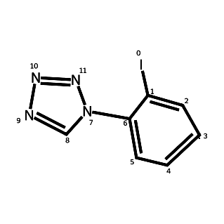 Ic1c[c]ccc1-n1cnnn1